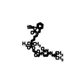 CN(C)/C=N/c1ccn(C2COC(COC(=O)C(C)(C)CCCCN(Cc3ccccc3)C(=O)OC(C)(C)C)O2)c(=O)n1